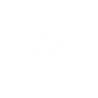 CC(F)Oc1c(F)ccc2cc(O)cc(C(C)C)c12